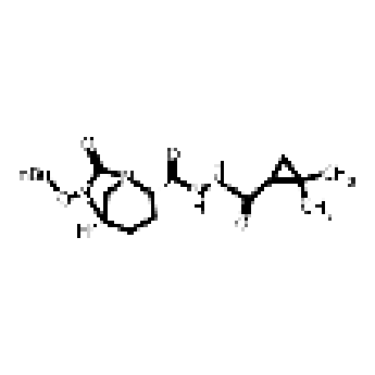 CCCCON1C(=O)N2C[C@H]1CC[C@H]2C(=O)NNC(=O)C1CC1(C)C